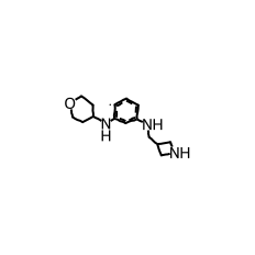 [c]1ccc(NCC2CNC2)cc1NC1CCOCC1